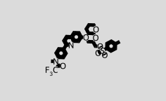 Cc1ccc(S(=O)(=O)OCC(COc2ccc3ccc(-c4ccc(N(C)C(=O)C(F)(F)F)cc4)nc3c2)OC2CCCCO2)cc1